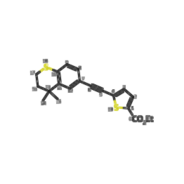 CCOC(=O)c1ccc(C#Cc2ccc3c(c2)C(C)(C)CCS3)s1